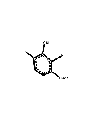 COc1ccc(C)c(C#N)c1F